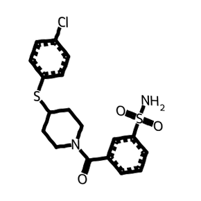 NS(=O)(=O)c1cccc(C(=O)N2CCC(Sc3ccc(Cl)cc3)CC2)c1